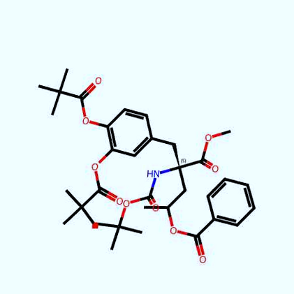 COC(=O)[C@](Cc1ccc(OC(=O)C(C)(C)C)c(OC(=O)C(C)(C)C)c1)(CC(C)OC(=O)c1ccccc1)NC(=O)OC(C)(C)C